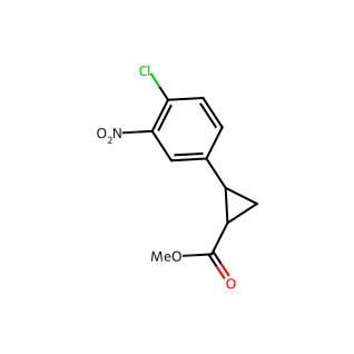 COC(=O)C1CC1c1ccc(Cl)c([N+](=O)[O-])c1